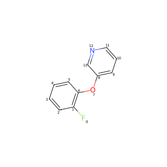 Fc1[c]cccc1Oc1cccnc1